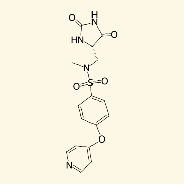 CN(C[C@@H]1NC(=O)NC1=O)S(=O)(=O)c1ccc(Oc2ccncc2)cc1